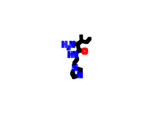 CCC(C)[C@H](N)C(=O)NCCn1ccnc1